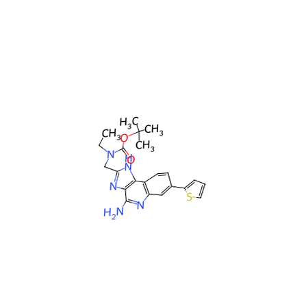 CCN(Cc1nc2c(N)nc3cc(-c4cccs4)ccc3c2[nH]1)C(=O)OC(C)(C)C